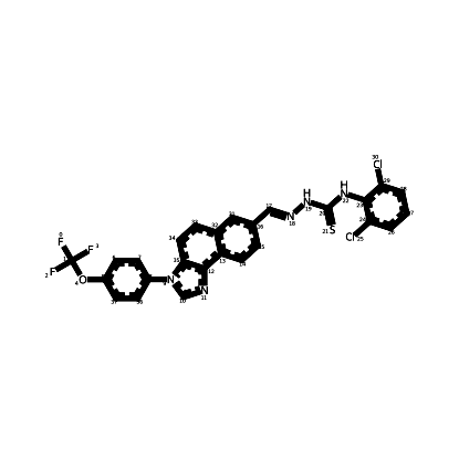 FC(F)(F)Oc1ccc(-n2cnc3c4ccc(C=NNC(=S)Nc5c(Cl)cccc5Cl)cc4ccc32)cc1